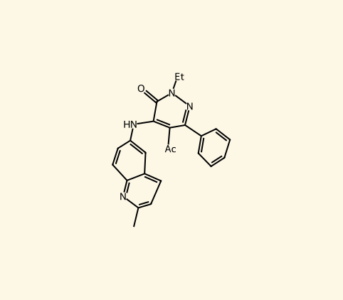 CCn1nc(-c2ccccc2)c(C(C)=O)c(Nc2ccc3nc(C)ccc3c2)c1=O